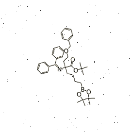 CC(C)(C)OC(=O)C(CCCCB1OC(C)(C)C(C)(C)O1)(CCOCc1ccccc1)N=C(c1ccccc1)c1ccccc1